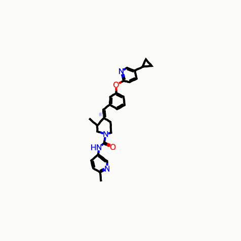 Cc1ccc(NC(=O)N2CC/C(=C\c3cccc(Oc4ccc(C5CC5)cn4)c3)C(C)C2)cn1